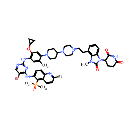 CCc1ccc2c(P(C)(C)=O)c(Nc3nc(Nc4cc(C)c(N5CCC(N6CCN(CCc7cccc8c7n(C)c(=O)n8C7CCC(=O)NC7=O)CC6)CC5)cc4OC4CC4)ncc3Br)ccc2n1